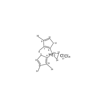 CC1=CC[C]([Hf+2]2([C]3=C(C)C(C)=CC3)[CH2][CH2]2)=C1C.[Cl-].[Cl-]